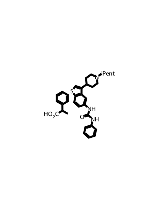 CC(C(=O)O)c1ccccc1.CCCC(C)N1CCC(c2csc3ccc(NC(=O)Nc4ccccc4)cc23)CC1